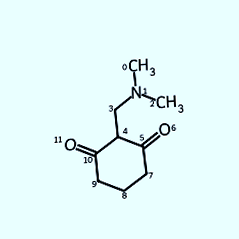 CN(C)CC1C(=O)CCCC1=O